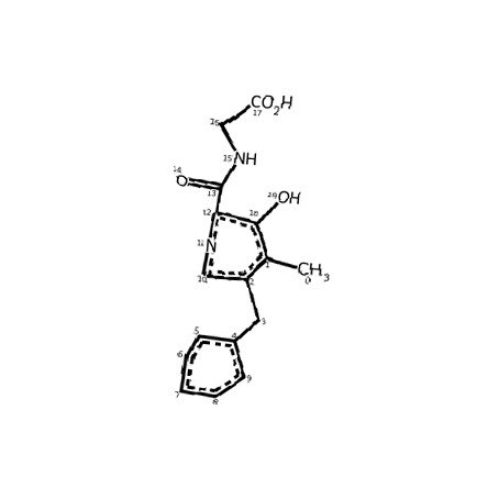 Cc1c(Cc2ccccc2)cnc(C(=O)NCC(=O)O)c1O